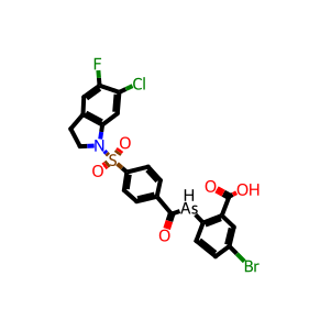 O=C([AsH]c1ccc(Br)cc1C(=O)O)c1ccc(S(=O)(=O)N2CCc3cc(F)c(Cl)cc32)cc1